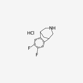 Cl.Fc1cc2c(cc1F)C1CNCC2C1